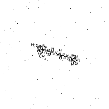 CCOP(=O)(OCC)C1(C)[C@H](COC(=O)NCCCNC(=O)CCCC[C@H]2SC[C@H]3NC(=O)N[C@H]32)CC=[N+]1[O-]